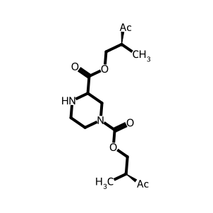 CC(=O)[C@@H](C)COC(=O)C1CN(C(=O)OC[C@H](C)C(C)=O)CCN1